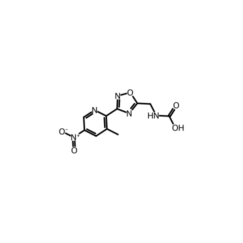 Cc1cc([N+](=O)[O-])cnc1-c1noc(CNC(=O)O)n1